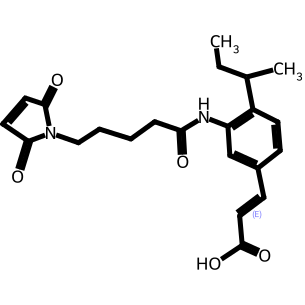 CCC(C)c1ccc(/C=C/C(=O)O)cc1NC(=O)CCCCN1C(=O)C=CC1=O